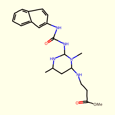 COC(=O)CCNC1CC(C)NC(NC(=O)Nc2ccc3ccccc3c2)N1C